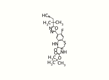 C#CCC(C)(C)c1nnc(-c2cc3c(cc2F)SC[C@H](NC(=O)OC(C)(C)C)C(=O)N3)o1